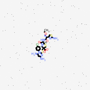 CCON=C(C(=O)NC1C(=O)N2CC(CSc3nc(N)cc(N)[n+]3-c3ccc(Cl)cc3)(C(=O)[O-])CS[C@H]12)c1csc(N)n1